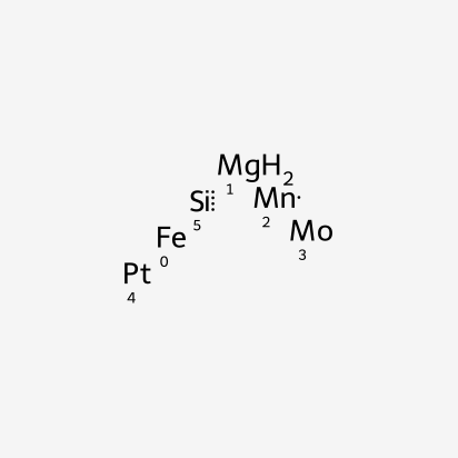 [Fe].[MgH2].[Mn].[Mo].[Pt].[Si]